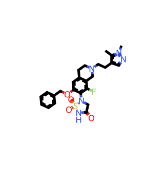 Cc1c(CCN2CCc3cc(OCc4ccccc4)c(N4CC(=O)NS4(=O)=O)c(F)c3C2)cnn1C